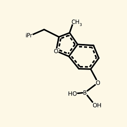 Cc1c(CC(C)C)oc2cc(OB(O)O)ccc12